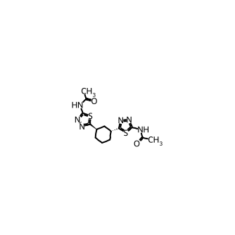 CC(=O)Nc1nnc([C@@H]2CCC[C@@H](c3nnc(NC(C)=O)s3)C2)s1